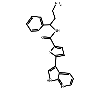 NCCC(NC(=O)c1ccc(-c2c[nH]c3ncccc23)s1)c1ccccc1